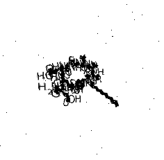 CCCCCCCCCCCC(=O)N[C@@H](Cc1ccc(O)cc1)C(=O)NC(C(=O)N[C@H](C(=O)NC(C(=O)NCC(=O)NCC(=O)N[C@@H](CCC(=O)O)C(=O)NC(CCC(=O)O)C(=O)N[C@@H](CCC(=O)O)C(N)=O)C(C)C)C(C)C)C(C)C